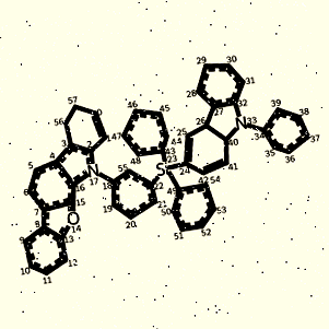 C1=Cc2c(c3ccc4c5ccccc5oc4c3n2-c2cccc([Si](C3=CC4c5ccccc5N(c5ccccc5)C4C=C3)(c3ccccc3)c3ccccc3)c2)CC1